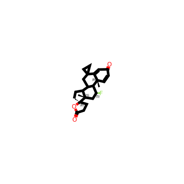 C[C@]12C=CC(=O)C=C1C1(CC1)CC1C2[C@@H](F)C[C@@]2(C)C1CC[C@@]21CCC(=O)O1